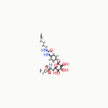 C#CCCCCNC(=O)Nc1ccc(O[C@H]2O[C@H](CNS(=O)(=O)C(F)(F)F)[C@@H](O)[C@H](O)[C@@H]2O)cc1